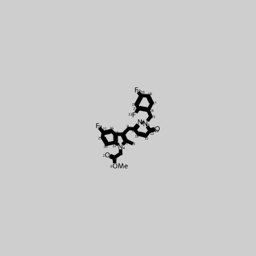 COC(=O)Cn1c(C)c(Cc2ccc(=O)n(Cc3ccc(F)cc3F)n2)c2cc(F)ccc21